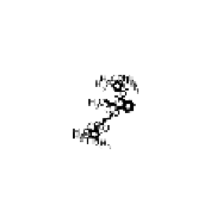 CCCC[C@H](OC(=O)CCC(=O)O[C@@H]1C[C@H](C)C(C)(C)C1(C)C)c1ccccc1C(=O)O[C@@H]1C[C@H](C)C(C)(C)C1(C)C